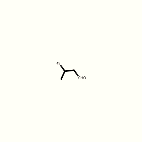 C[CH]C(C)CC=O